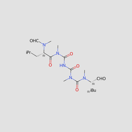 CC[C@H](C)[C@@H](C=O)N(C)C(=O)N(C)C(=O)NC(=O)N(C)C(=O)[C@H](CC(C)C)N(C)C=O